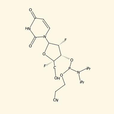 CC(C)N(C(C)C)P(OCCC#N)O[C@H]1[C@@H](F)C(n2ccc(=O)[nH]c2=O)O[C@]1(F)CO